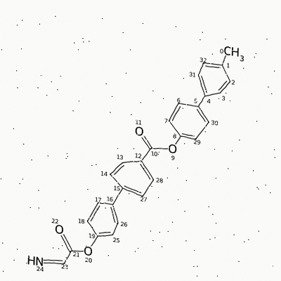 Cc1ccc(-c2ccc(OC(=O)c3ccc(-c4ccc(OC(=O)C=N)cc4)cc3)cc2)cc1